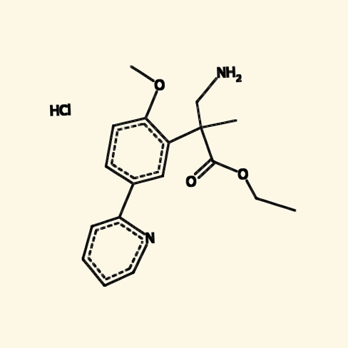 CCOC(=O)C(C)(CN)c1cc(-c2ccccn2)ccc1OC.Cl